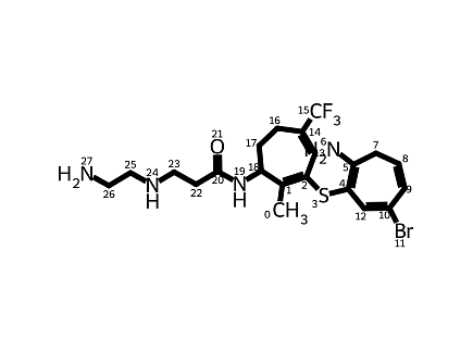 CC1=C(SC2=C(N)CC=CC(Br)=C2)C=C(C(F)(F)F)CCC1NC(=O)CCNCCN